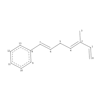 C=C/C(C)=C/C/C=C/c1ccccc1